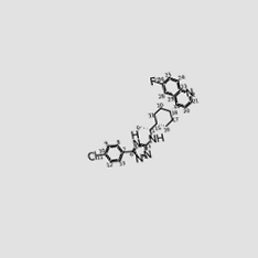 C[C@@H](Nc1nnc(-c2ccc(Cl)cc2)[nH]1)[C@H]1CC[C@@H](c2ccnc3ccc(F)cc32)CC1